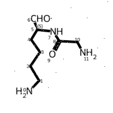 NCCCC[C@@H]([C]=O)NC(=O)CN